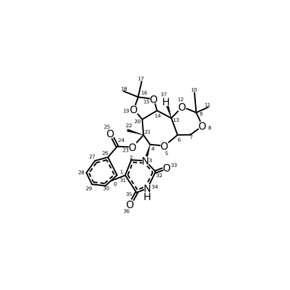 Cc1cn([C@@H]2OC3COC(C)(C)O[C@H]3C3OC(C)(C)OC3[C@@]2(C)OC(=O)c2ccccc2)c(=O)[nH]c1=O